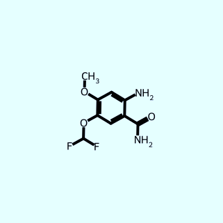 COc1cc(N)c(C(N)=O)cc1OC(F)F